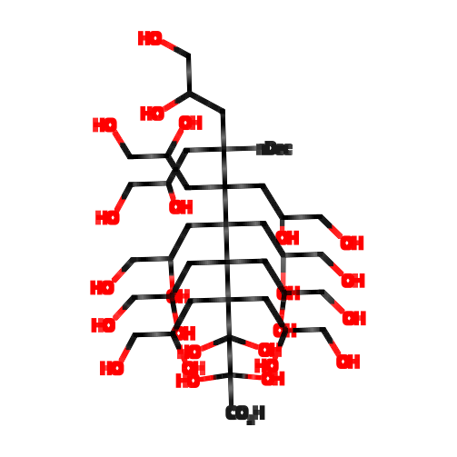 CCCCCCCCCCC(CC(O)CO)(CC(O)CO)C(CC(O)CO)(CC(O)CO)C(CC(O)CO)(CC(O)CO)C(CC(O)CO)(CC(O)CO)C(CC(O)CO)(CC(O)CO)C(O)(O)C(O)(O)C(=O)O